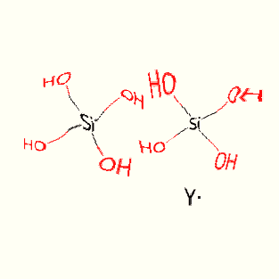 O[Si](O)(O)O.O[Si](O)(O)O.[Y]